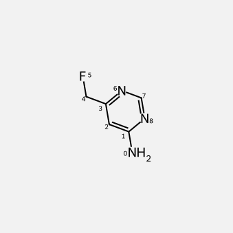 Nc1cc(CF)ncn1